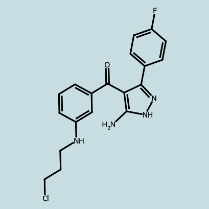 Nc1[nH]nc(-c2ccc(F)cc2)c1C(=O)c1cccc(NCCCCl)c1